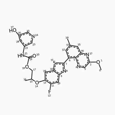 COc1cnc2c(-c3nc4cc(F)c(OC(C)COC(=O)Nc5cncc(O)c5)cc4s3)cc(C)cc2n1